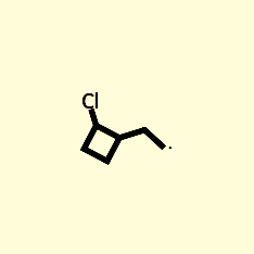 [CH2]CC1CCC1Cl